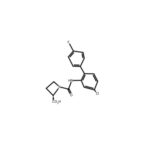 O=C(O)[C@H]1CCN1C(=O)Nc1cc(Cl)ccc1-c1ccc(F)cc1